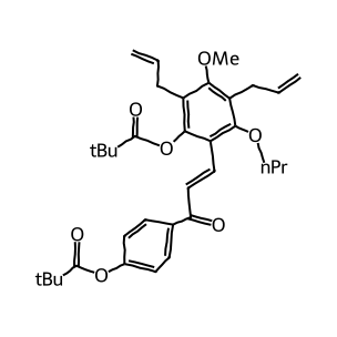 C=CCc1c(OCCC)c(C=CC(=O)c2ccc(OC(=O)C(C)(C)C)cc2)c(OC(=O)C(C)(C)C)c(CC=C)c1OC